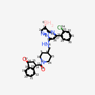 Bc1cnn2c(NCC3CCN(C(=O)C4CC(=O)c5ccccc54)CC3)cc(-c3ccccc3Cl)nc12